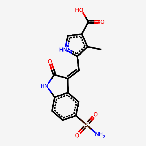 Cc1c(C(=O)O)c[nH]c1C=C1C(=O)Nc2ccc(S(N)(=O)=O)cc21